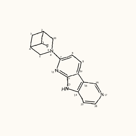 FC1C2CC1CN(c1ccc3c(n1)[nH]c1ccncc13)C2